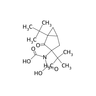 CC(C)(C)C12CC1CC(N(C(=O)O)C(=O)O)(C(C)(C)C)C2=O